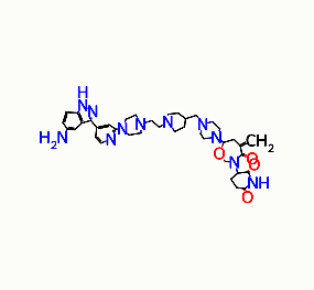 C=C1CC(N2CCN(CC3CCN(CCN4CCN(c5cc(-c6n[nH]c7ccc(N)cc67)ccn5)CC4)CC3)CC2)OCN(C2CCC(=O)NC2=O)C1=O